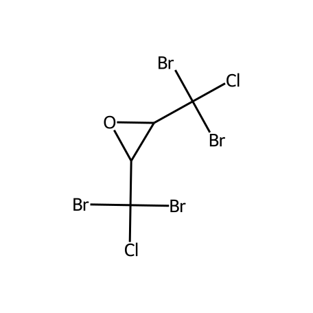 ClC(Br)(Br)C1OC1C(Cl)(Br)Br